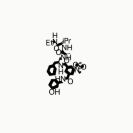 CCNC(=O)[C@@H](NC(=O)[C@H](C)NC[C@H](Cc1ccccc1)NC(=O)c1cc(C(=O)NCc2cccc(O)c2)cc(N(C)S(C)(=O)=O)c1)C(C)C